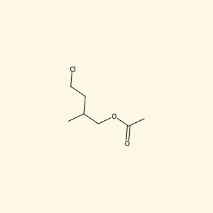 CC(=O)OCC(C)CCCl